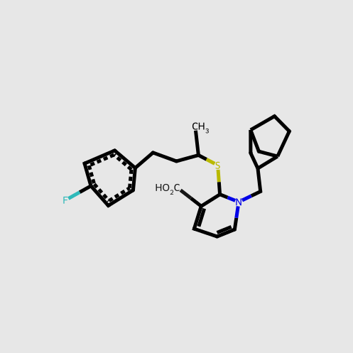 CC(CCc1ccc(F)cc1)SC1C(C(=O)O)=CC=CN1CC1CC2CCC1C2